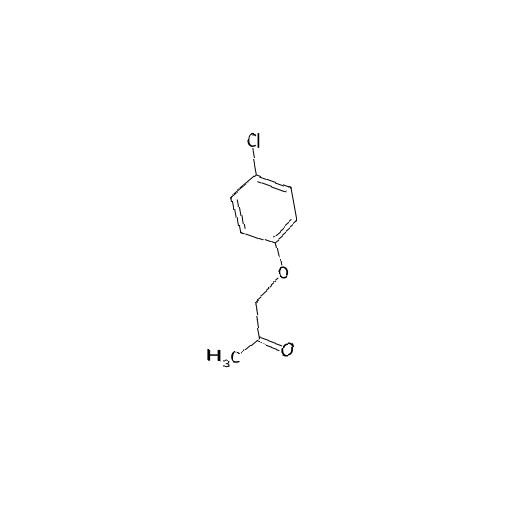 CC(=O)COc1ccc(Cl)cc1